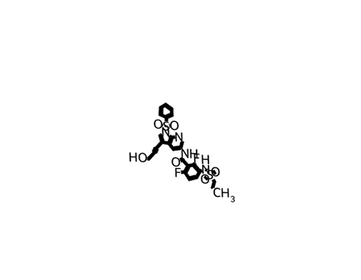 CCCS(=O)(=O)Nc1ccc(F)c(C(=O)Nc2cnc3c(c2)c(C#CCO)cn3S(=O)(=O)c2ccccc2)c1F